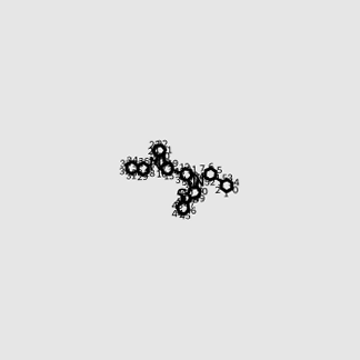 c1ccc(-c2cccc(-n3c4ccc(-c5ccc6c(c5)c5ccccc5n6-c5ccc6ccccc6c5)cc4c4c5sc6ccccc6c5ccc43)c2)cc1